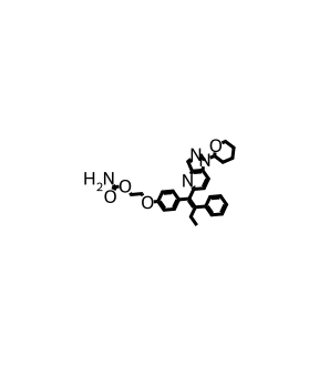 CCC(=C(c1ccc(OCCOC(N)=O)cc1)c1ccc2c(cnn2C2CCCCO2)n1)c1ccccc1